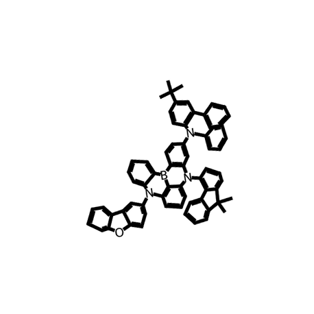 CC(C)(C)c1ccc(N(c2ccccc2)c2ccc3c(c2)N(c2cccc4c2-c2ccccc2C4(C)C)c2cccc4c2B3c2ccccc2N4c2ccc3oc4ccccc4c3c2)c(-c2ccccc2)c1